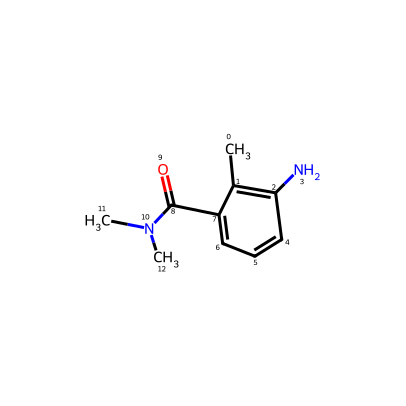 Cc1c(N)cccc1C(=O)N(C)C